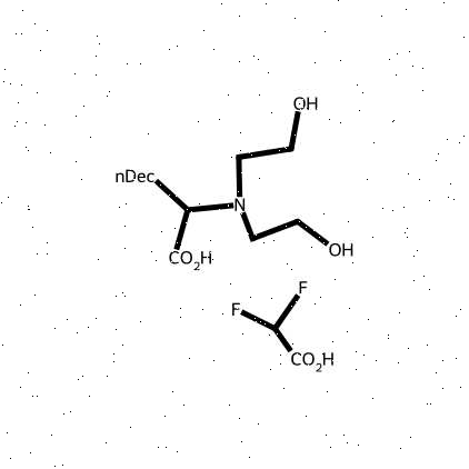 CCCCCCCCCCC(C(=O)O)N(CCO)CCO.O=C(O)C(F)F